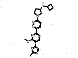 COc1nc(-c2ccc(N3CCC(NC4CCC4)C3)nn2)ccc1-c1cnc(C)s1